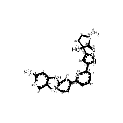 Cc1cc(Nc2nccc(-c3cccc(-c4cc(C5(O)CCN(C)C5=O)on4)n3)n2)c(F)cn1